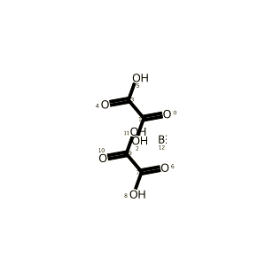 O=C(O)C(=O)O.O=C(O)C(=O)O.[B]